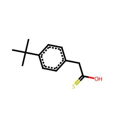 CC(C)(C)c1ccc(CC(O)=S)cc1